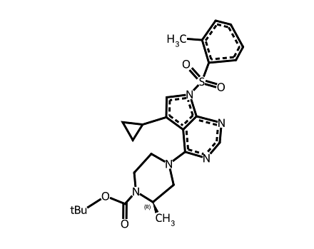 Cc1ccccc1S(=O)(=O)n1cc(C2CC2)c2c(N3CCN(C(=O)OC(C)(C)C)[C@H](C)C3)ncnc21